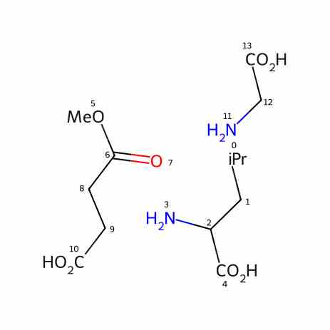 CC(C)CC(N)C(=O)O.COC(=O)CCC(=O)O.NCC(=O)O